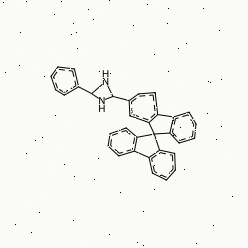 c1ccc(C2NC(c3ccc4c(c3)C3(c5ccccc5-c5ccccc53)c3ccccc3-4)N2)cc1